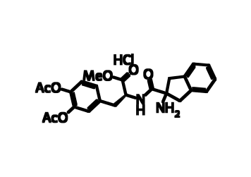 COC(=O)[C@H](Cc1ccc(OC(C)=O)c(OC(C)=O)c1)NC(=O)C1(N)Cc2ccccc2C1.Cl